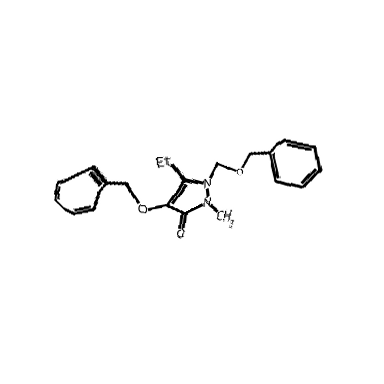 CCc1c(OCc2ccccc2)c(=O)n(C)n1COCc1ccccc1